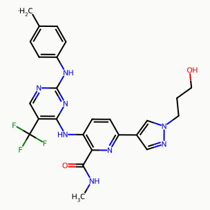 [CH2]c1ccc(Nc2ncc(C(F)(F)F)c(Nc3ccc(-c4cnn(CCCO)c4)nc3C(=O)NC)n2)cc1